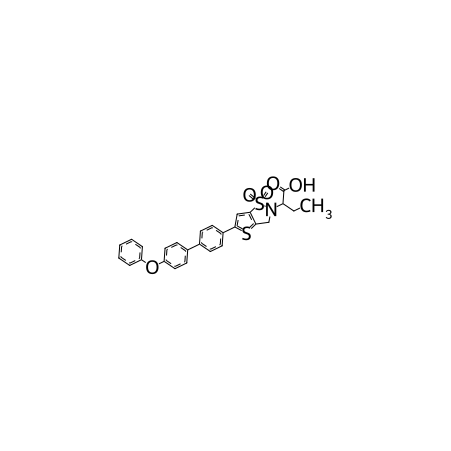 CCC(C(=O)O)N1Cc2sc(-c3ccc(-c4ccc(Oc5ccccc5)cc4)cc3)cc2S1(=O)=O